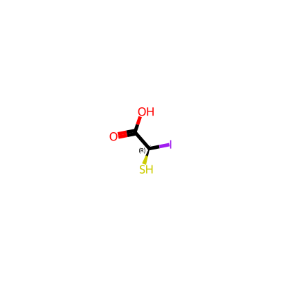 O=C(O)[C@H](S)I